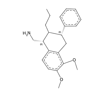 CCCC1[C@H](c2ccccc2)Cc2c(ccc(OC)c2OC)[C@@H]1CN